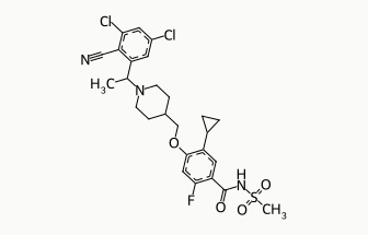 CC(c1cc(Cl)cc(Cl)c1C#N)N1CCC(COc2cc(F)c(C(=O)NS(C)(=O)=O)cc2C2CC2)CC1